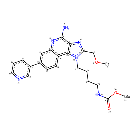 CCOCc1nc2c(N)nc3cc(-c4cccnc4)ccc3c2n1CCCCNC(=O)OC(C)(C)C